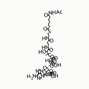 CC(=O)NC(=O)CCCCCC(=O)SCCNC(=O)CCNC(=O)[C@H](O)C(C)(C)COP(=O)(O)OP(=O)(O)OC[C@H]1O[C@@H](n2cnc3c(N)ncnc32)[C@H](O)[C@@H]1OP(=O)(O)O